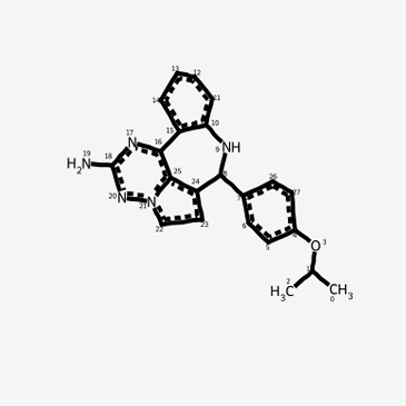 CC(C)Oc1ccc(C2Nc3ccccc3-c3nc(N)nn4ccc2c34)cc1